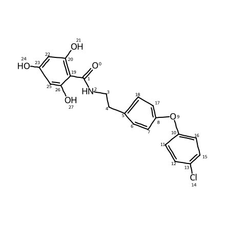 O=C(NCCc1ccc(Oc2ccc(Cl)cc2)cc1)c1c(O)cc(O)cc1O